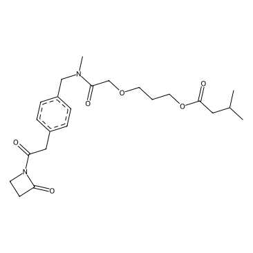 CC(C)CC(=O)OCCCOCC(=O)N(C)Cc1ccc(CC(=O)N2CCC2=O)cc1